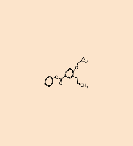 C=CCc1cc(C(=O)Oc2ccccc2)ccc1OCC1CO1